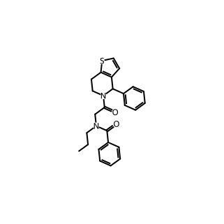 CCCN(CC(=O)N1CCc2sccc2C1c1ccccc1)C(=O)c1ccccc1